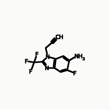 C#CCn1c(C(F)(F)F)nc2cc(F)c(N)cc21